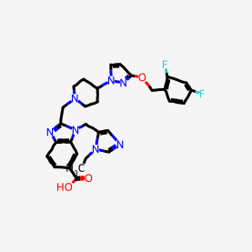 CCn1cncc1Cn1c(CN2CCC(n3ccc(OCc4ccc(F)cc4F)n3)CC2)nc2ccc(C(=O)O)cc21